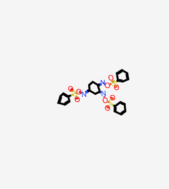 O=S(=O)(O/N=C1/CC/C(=N\OS(=O)(=O)c2ccccc2)C/C1=N\OS(=O)(=O)c1ccccc1)c1ccccc1